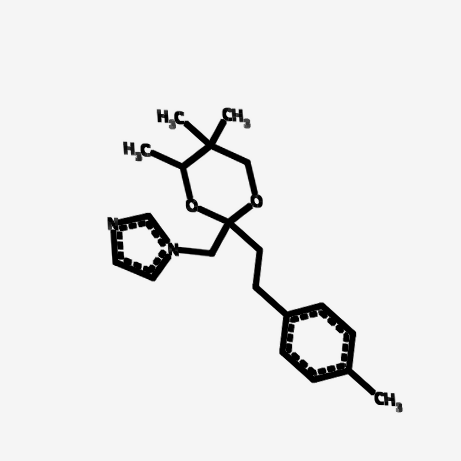 Cc1ccc(CCC2(Cn3ccnc3)OCC(C)(C)C(C)O2)cc1